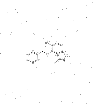 Cn1ncc2ccc(Br)c(OCc3ccccc3)c21